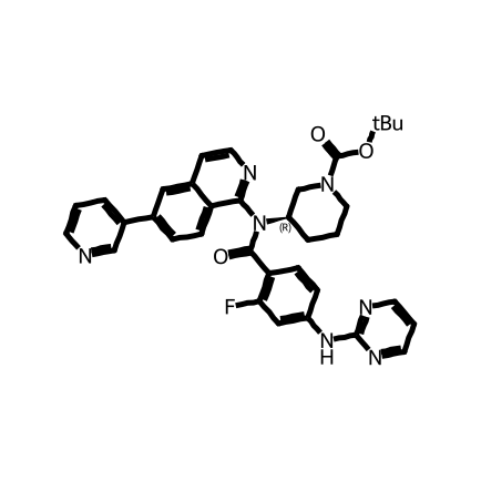 CC(C)(C)OC(=O)N1CCC[C@@H](N(C(=O)c2ccc(Nc3ncccn3)cc2F)c2nccc3cc(-c4cccnc4)ccc23)C1